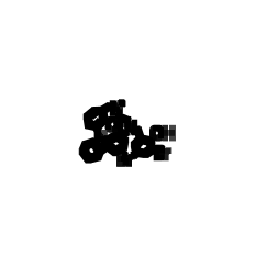 CN(CCN(C)Cc1cccc(-n2c3ccccc3c3ccccc32)c1O)Cc1cc(Br)cc(Br)c1O